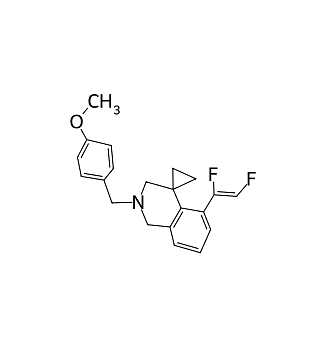 COc1ccc(CN2Cc3cccc(C(F)=CF)c3C3(CC3)C2)cc1